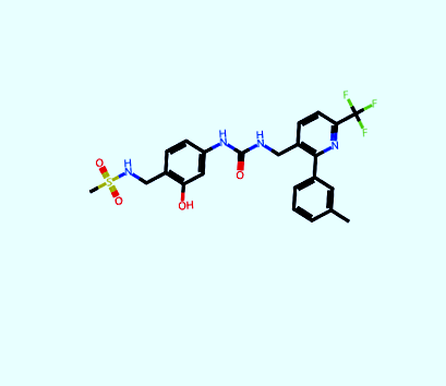 Cc1cccc(-c2nc(C(F)(F)F)ccc2CNC(=O)Nc2ccc(CNS(C)(=O)=O)c(O)c2)c1